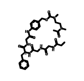 CCC(=O)NCC(=O)NCC(=O)N[C@@H](Cc1ccccc1)C(=O)NCC(=O)Nc1ccc(COC(=O)N(C)CCN(C)C(C)=O)cc1